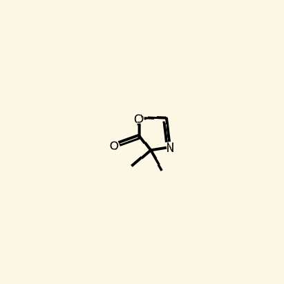 CC1(C)N=COC1=O